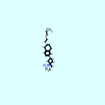 CCCSCC[C@@H]1CCc2cc([C@H]3CC[C@](N)(CC)C3)ccc2C1